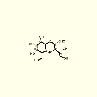 O=C[C@@H](OC1O[C@H](CO)[C@H](O)[C@H](O)[C@H]1O)[C@H](O)[C@H](O)CO